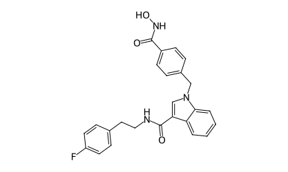 O=C(NO)c1ccc(Cn2cc(C(=O)NCCc3ccc(F)cc3)c3ccccc32)cc1